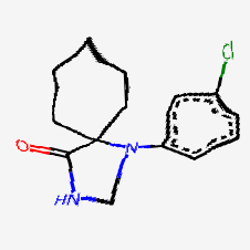 O=C1NCN(c2cccc(Cl)c2)C12CCCCC2